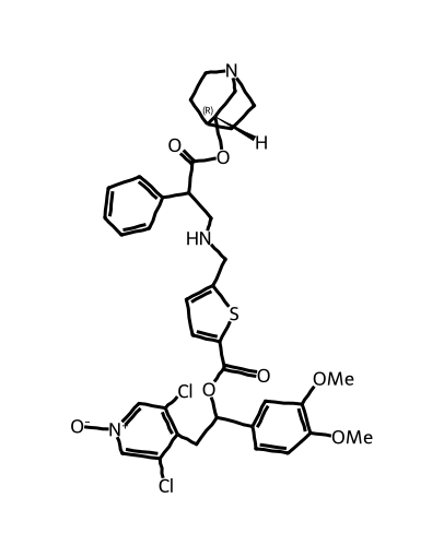 COc1ccc(C(Cc2c(Cl)c[n+]([O-])cc2Cl)OC(=O)c2ccc(CNCC(C(=O)O[C@H]3CN4CCC3CC4)c3ccccc3)s2)cc1OC